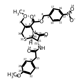 COCC1=C(C(=O)OCc2ccc([N+](=O)[O-])cc2)N2C(=O)[C@H](NC(=O)Cc3ccc(OC)cc3)[C@H]2SC1